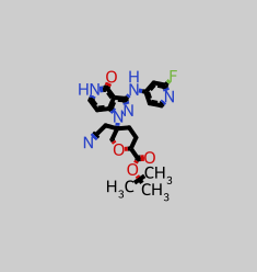 CC(C)(C)OC(=O)C1CCC(CC#N)(n2nc(Nc3ccnc(F)c3)c3c(=O)[nH]ccc32)CO1